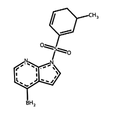 Bc1ccnc2c1ccn2S(=O)(=O)C1=CC(C)CC=C1